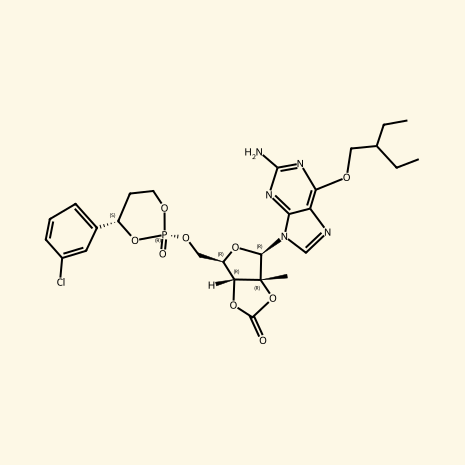 CCC(CC)COc1nc(N)nc2c1ncn2[C@@H]1O[C@H](CO[P@@]2(=O)OCC[C@@H](c3cccc(Cl)c3)O2)[C@H]2OC(=O)O[C@]21C